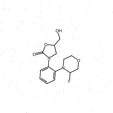 O=C1OC(CO)CN1c1ccccc1N1CCOCC1F